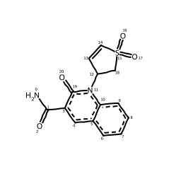 NC(=O)c1cc2ccccc2n(C2C=CS(=O)(=O)C2)c1=O